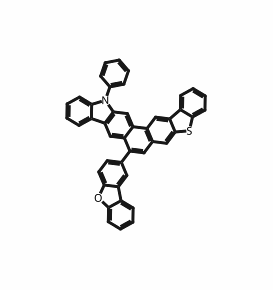 c1ccc(-n2c3ccccc3c3cc4c(-c5ccc6oc7ccccc7c6c5)cc5cc6sc7ccccc7c6cc5c4cc32)cc1